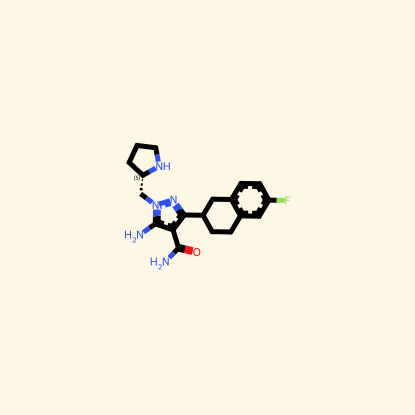 NC(=O)c1c(C2CCc3cc(F)ccc3C2)nn(C[C@@H]2CCCN2)c1N